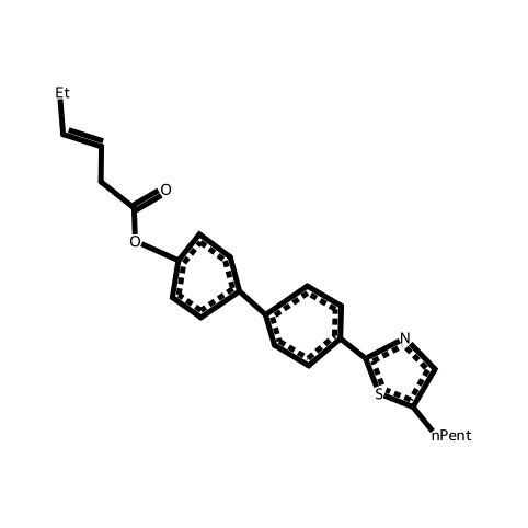 CCC=CCC(=O)Oc1ccc(-c2ccc(-c3ncc(CCCCC)s3)cc2)cc1